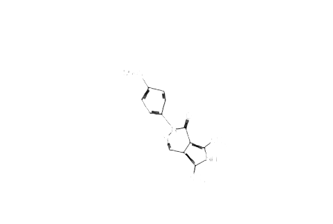 COc1ccc(-n2ncc3c(C)[nH]c(C)c3c2=O)cc1